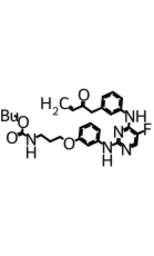 C=CC(=O)Cc1cccc(Nc2nc(Nc3cccc(OCCCNC(=O)OC(C)(C)C)c3)ncc2F)c1